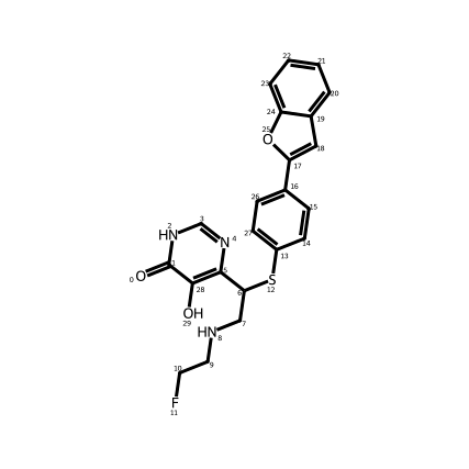 O=c1[nH]cnc(C(CNCCF)Sc2ccc(-c3cc4ccccc4o3)cc2)c1O